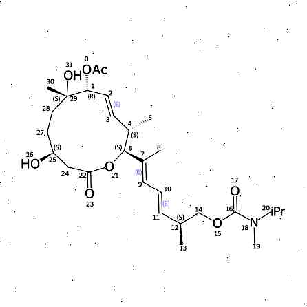 CC(=O)O[C@@H]1/C=C/[C@H](C)[C@@H](/C(C)=C/C=C/[C@H](C)COC(=O)N(C)C(C)C)OC(=O)C[C@@H](O)CC[C@]1(C)O